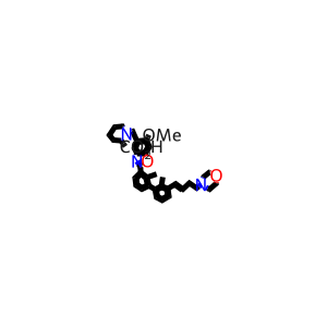 COc1cc2oc(-c3cccc(-c4cccc(C=CCCN5CCOCC5)c4C)c3C)nc2cc1CN1CCCCC1C(=O)O